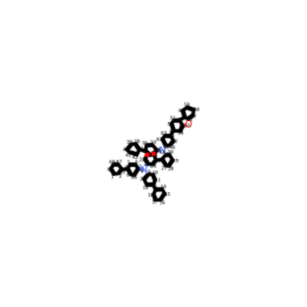 c1ccc(-c2ccc(N(c3ccc(-c4ccccc4)cc3)c3cccc(-c4ccccc4N(c4ccc(-c5ccccc5)cc4)c4ccc(-c5ccc6c(c5)oc5ccccc56)cc4)c3)cc2)cc1